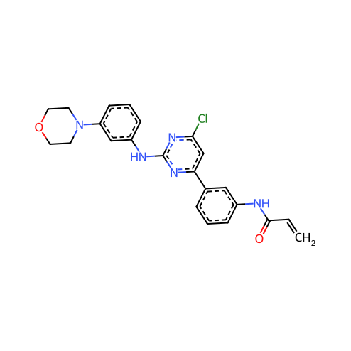 C=CC(=O)Nc1cccc(-c2cc(Cl)nc(Nc3cccc(N4CCOCC4)c3)n2)c1